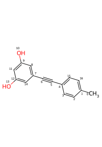 Cc1ccc(C#Cc2cc(O)cc(O)c2)cc1